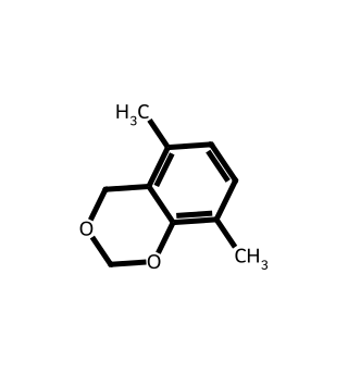 Cc1ccc(C)c2c1COCO2